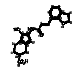 N#Cc1c(NC(=O)C=Cc2cccc3c2OCC3)sc2c1CCN(C(=O)O)C2